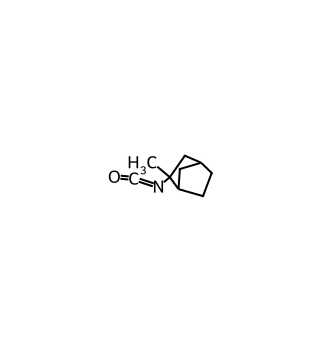 CC1(N=C=O)CC2CCC1C2